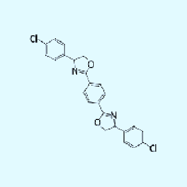 Clc1ccc(C2COC(c3ccc(C4=NC(c5ccc(Cl)cc5)CO4)cc3)=N2)cc1